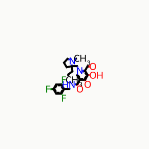 CCCC1(Cn2cc(C(=O)NCc3c(F)cc(F)cc3F)c(=O)c(O)c2C=O)CCCN1C